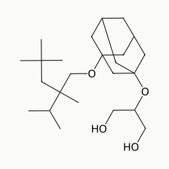 CC(C)C(C)(COC12CC3CC(C1)CC(OC(CO)CO)(C3)C2)CC(C)(C)C